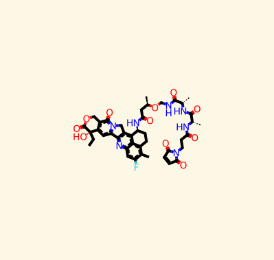 CC[C@@]1(O)C(=O)OCc2c1cc1n(c2=O)Cc2c-1nc1cc(F)c(C)c3c1c2[C@@H](NC(=O)C[C@@H](C)OCNC(=O)[C@H](C)NC(=O)[C@H](C)NC(=O)CCN1C(=O)C=CC1=O)CC3